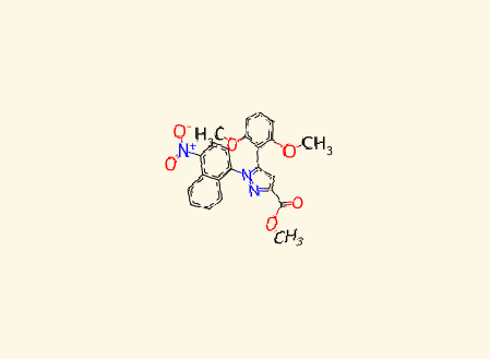 COC(=O)c1cc(-c2c(OC)cccc2OC)n(-c2ccc([N+](=O)[O-])c3ccccc23)n1